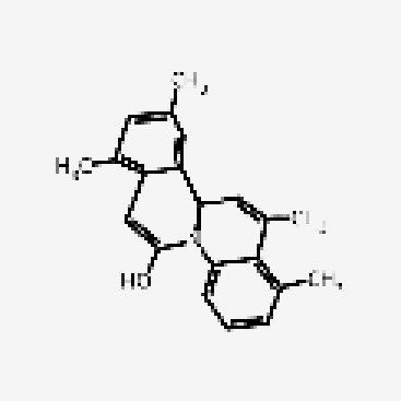 CC1=CC2c3cc(C)cc(C)c3C=C(O)N2c2cccc(C)c21